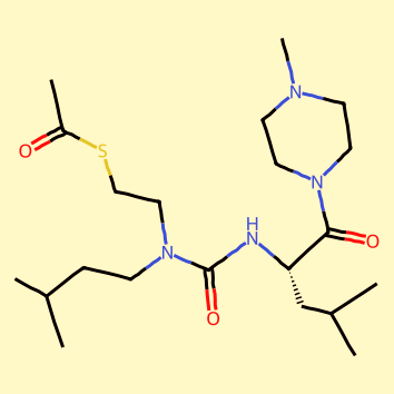 CC(=O)SCCN(CCC(C)C)C(=O)N[C@@H](CC(C)C)C(=O)N1CCN(C)CC1